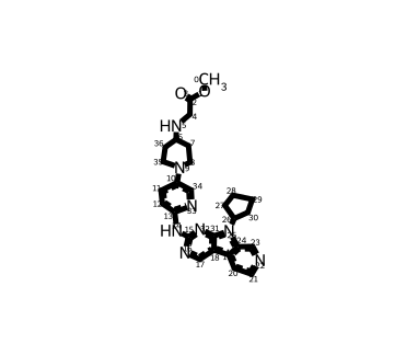 COC(=O)CNC1CCN(c2ccc(Nc3ncc4c5ccncc5n(C5CCCC5)c4n3)nc2)CC1